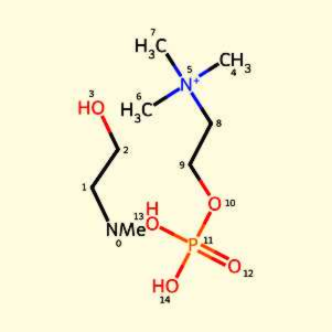 CNCCO.C[N+](C)(C)CCOP(=O)(O)O